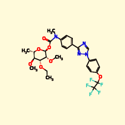 CCO[C@@H]1[C@@H](OC)[C@H](C)O[C@@H](OC(=O)N(C)c2ccc(-c3ncn(-c4ccc(OC(F)(F)C(F)(F)F)cc4)n3)cc2)[C@@H]1OC